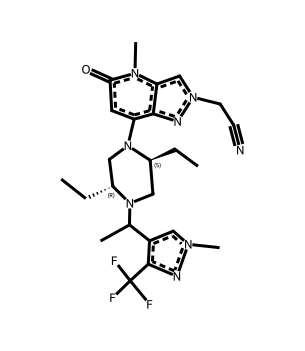 CC[C@H]1CN(C(C)c2cn(C)nc2C(F)(F)F)[C@H](CC)CN1c1cc(=O)n(C)c2cn(CC#N)nc12